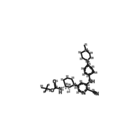 C[C@@H]1[C@H](NC(=O)OC(C)(C)C)CCCN1c1cnc(C#N)c(Nc2ccc(N3CCN(C)CC3)cc2)c1